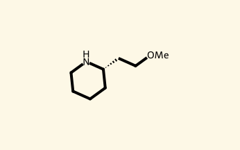 COCC[C@@H]1CCCCN1